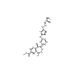 CCNc1ncc2c(n1)N(C)CCN(c1cccc(Cn3cc(CCOC(N)=O)nn3)c1)C2=O